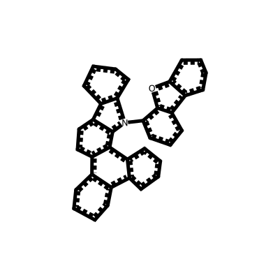 c1ccc2c(c1)oc1c(-n3c4ccccc4c4ccc5c6ccccc6c6ccccc6c5c43)cccc12